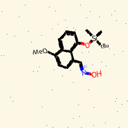 COc1ccc(/C=N/O)c2c(O[Si](C)(C)C(C)(C)C)cccc12